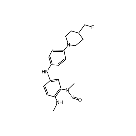 CNc1ccc(Nc2ccc(N3CCC(CF)CC3)cc2)cc1N(C)N=O